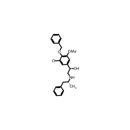 COc1cc([C@@H](O)CN[C@H](C)Cc2ccccc2)cc(Cl)c1OCc1ccccc1